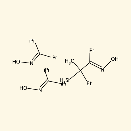 CC(C)C(=NO)C(C)C.CC(C)C(=NO)C(C)C.CCC(C)([SiH3])C(=NO)C(C)C